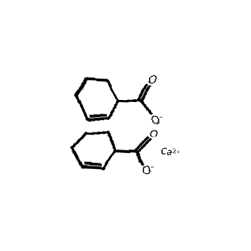 O=C([O-])C1C=CCCC1.O=C([O-])C1C=CCCC1.[Ca+2]